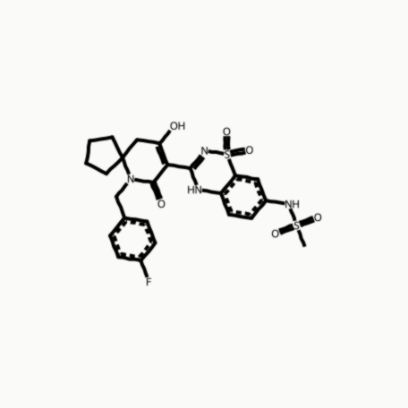 CS(=O)(=O)Nc1ccc2c(c1)S(=O)(=O)N=C(C1=C(O)CC3(CCCC3)N(Cc3ccc(F)cc3)C1=O)N2